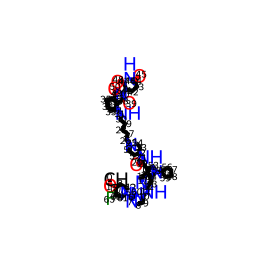 CO[C@H]1CCN(c2nccc(Nc3cc4c(cn3)c(C(=O)NC3CCN(CCCCCNc5cccc6c5C(=O)N(C5CCC(=O)NC5=O)C6=O)CC3)cn4C3CCCC3)n2)C[C@H]1F